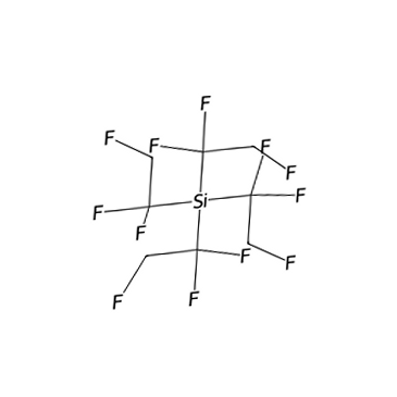 FCC(F)(F)[Si](C(F)(F)CF)(C(F)(F)CF)C(F)(F)CF